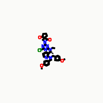 CCN(c1nc(Cl)nc(N2CC3(CCCC3=O)C2=O)n1)[C@H](C)c1cccnc1N(Cc1ccc(OC)cc1)Cc1ccc(OC)cc1